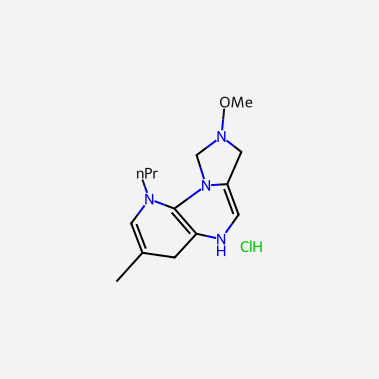 CCCN1C=C(C)CC2=C1N1CN(OC)CC1=CN2.Cl